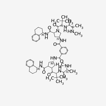 CN[C@@H](C)C(=O)NC(C(=O)C1C[C@@H](NC(=O)c2cccc(C(=O)N[C@H]3CC(C(=O)N[C@@H]4CCCc5ccccc54)N(C(=O)[C@@H](NC(=O)[C@H](C)NC)C(C)(C)C)C3)c2)CC1C(=O)N[C@@H]1CCCc2ccccc21)C(C)(C)C